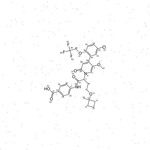 COc1cn(C(CCOC2(C)CCC2)C(=O)Nc2ccc(C(=O)O)cc2)c(=O)cc1-c1cc(Cl)ccc1OCC(F)(F)F